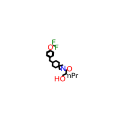 CCC[C@H](CO)C(=O)N1CC2(CCC(Cc3ccc(OC(F)F)cc3)CC2)C1